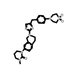 CN1CCCN(c2ccc3c(c2)CN(c2ncc(Cc4ccc(N5CCS(=O)(=O)CC5)cc4)s2)CC3)C1=O